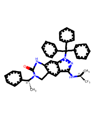 C[C@H](c1ccccc1)N1Cc2cc3c(N[C@@H](C)C(F)(F)F)nn(C(c4ccccc4)(c4ccccc4)c4ccccc4)c3cc2NC1=O